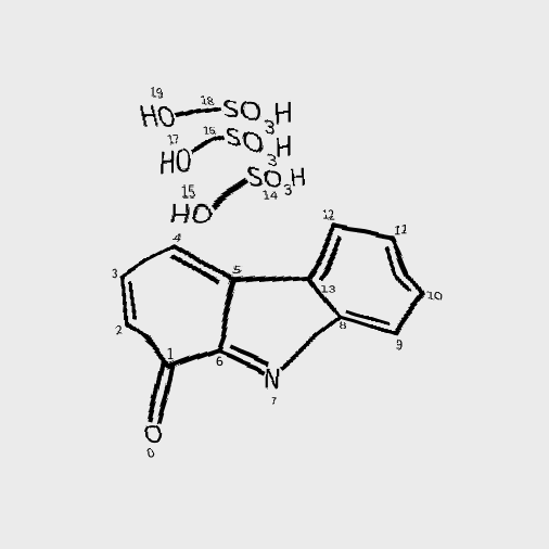 O=C1C=CC=C2C1=Nc1ccccc12.O=S(=O)(O)O.O=S(=O)(O)O.O=S(=O)(O)O